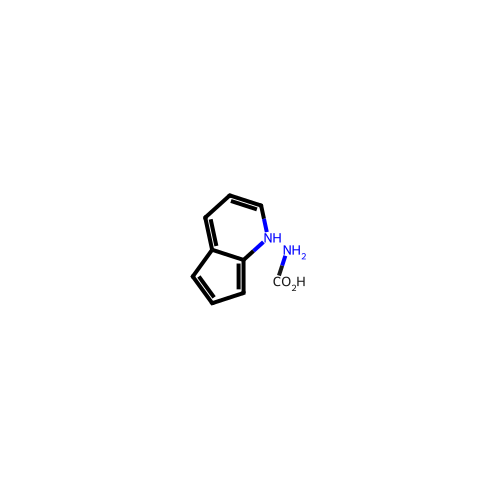 NC(=O)O.c1c[nH]c2cccc-2c1